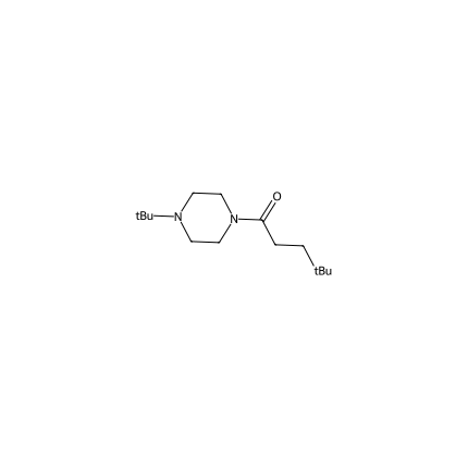 CC(C)(C)CCC(=O)N1CCN(C(C)(C)C)CC1